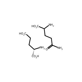 NC(=O)CCC(N)C(=O)O.N[C@@H](CCC(=O)O)C(=O)O